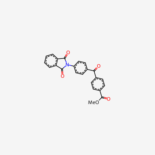 COC(=O)c1ccc(C(=O)c2ccc(N3C(=O)c4ccccc4C3=O)cc2)cc1